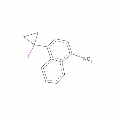 O=[N+]([O-])c1ccc(C2(I)CC2)c2ccccc12